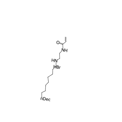 Br.C=CC(=O)NCCNCCCCCCCCCCCCCCCCCC